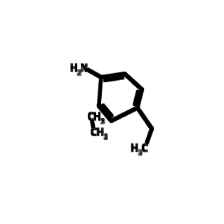 CC.CCc1ccc(N)cc1